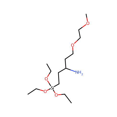 CCO[Si](CCC(N)CCOCCOC)(OCC)OCC